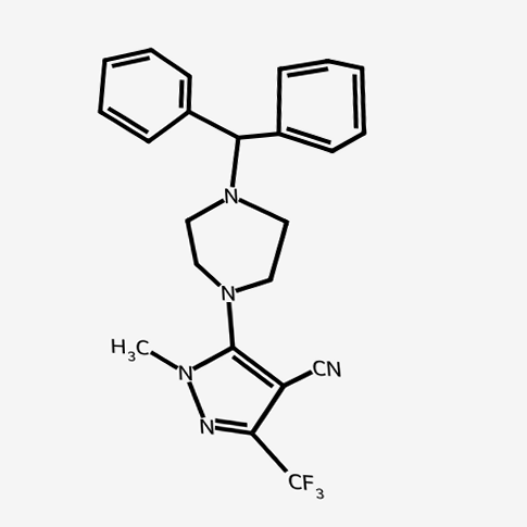 Cn1nc(C(F)(F)F)c(C#N)c1N1CCN(C(c2ccccc2)c2ccccc2)CC1